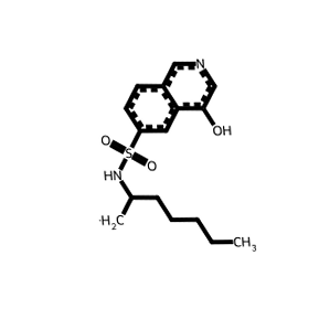 [CH2]C(CCCCC)NS(=O)(=O)c1ccc2cncc(O)c2c1